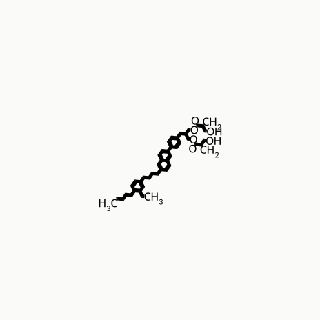 C=C(CO)C(=O)OCC(COC(=O)C(=C)CO)Cc1ccc(-c2ccc3cc(CCCCc4ccc(CCCCC)c(CC)c4)ccc3c2)cc1